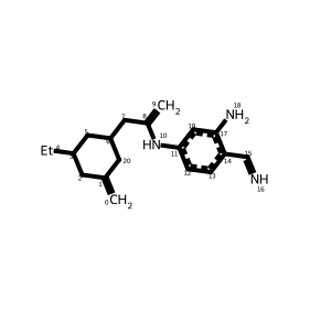 C=C1CC(CC)CC(CC(=C)Nc2ccc(C=N)c(N)c2)C1